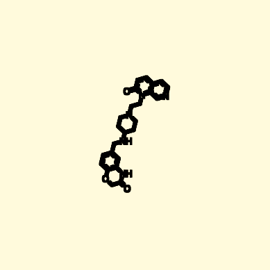 O=C1COc2ccc(CNC3CCN(CCn4c(=O)ccc5ccncc54)CC3)cc2N1